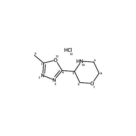 Cc1nnc(C2COCCN2)o1.Cl